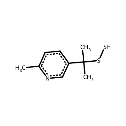 Cc1ccc(C(C)(C)SS)cn1